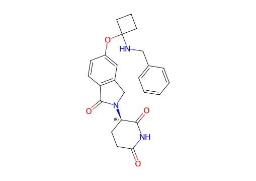 O=C1CC[C@@H](N2Cc3cc(OC4(NCc5ccccc5)CCC4)ccc3C2=O)C(=O)N1